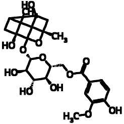 COc1cc(C(=O)OC[C@H]2O[C@@H](OC34O[C@@]5(C)C[C@@]6(O)C7C[C@]3(O)C7(C)C465)[C@H](O)[C@@H](O)[C@@H]2O)ccc1O